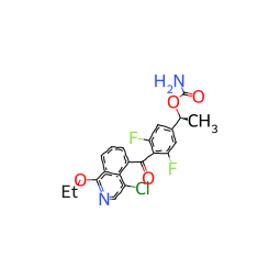 CCOc1ncc(Cl)c2c(C(=O)c3c(F)cc([C@H](C)OC(N)=O)cc3F)cccc12